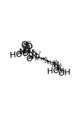 C[C@@](CCN1Cc2cc(C#CC#CC3CN(C[C@@H](O)CO)C3)cn2C1=O)(C(=O)NO)S(C)(=O)=O